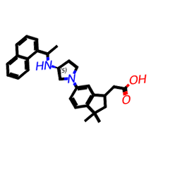 CC(N[C@H]1CCN(c2ccc3c(c2)C(CC(=O)O)CC3(C)C)C1)c1cccc2ccccc12